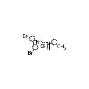 CC1C=C(NCC(O)Cn2c3ccc(Br)cc3c3cc(Br)ccc32)C=CC1